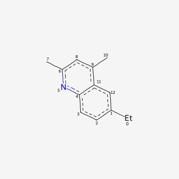 CCc1ccc2nc(C)cc(C)c2c1